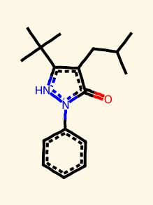 CC(C)Cc1c(C(C)(C)C)[nH]n(-c2ccccc2)c1=O